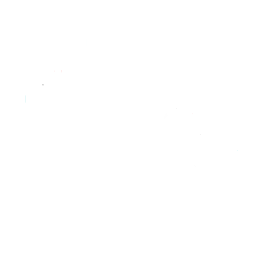 CCc1cc(F)c(C(F)(F)Oc2ccc(-c3cc(F)c(OC(F)(F)F)c(F)c3)cc2)c(F)c1